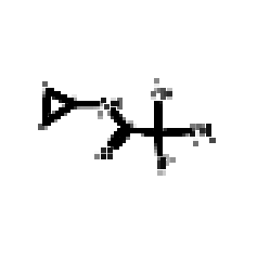 CC(C)C(C)(C)C(=O)NC1CC1